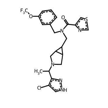 CC(c1n[nH]cc1Cl)N1CC2C(CN(Cc3cccc(OC(F)(F)F)c3)C(=O)c3cscn3)C2C1